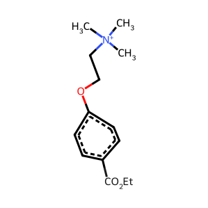 CCOC(=O)c1ccc(OCC[N+](C)(C)C)cc1